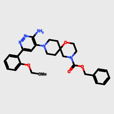 COCOc1ccccc1-c1cc(N2CCC3(CC2)CN(C(=O)OCc2ccccc2)CCO3)c(N)nn1